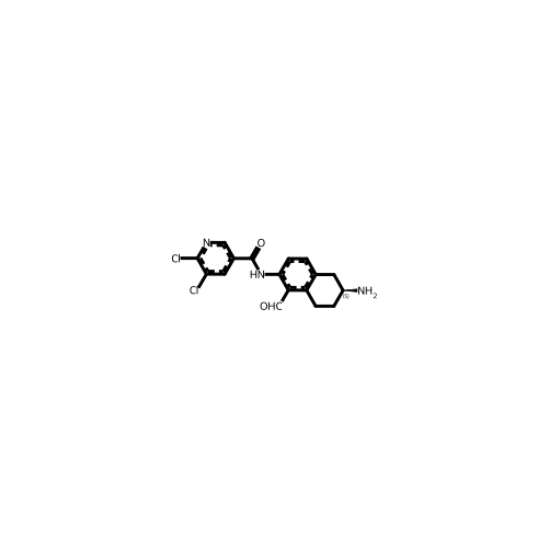 N[C@H]1CCc2c(ccc(NC(=O)c3cnc(Cl)c(Cl)c3)c2C=O)C1